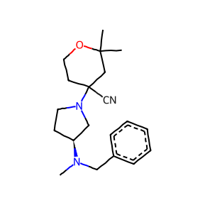 CN(Cc1ccccc1)[C@H]1CCN(C2(C#N)CCOC(C)(C)C2)C1